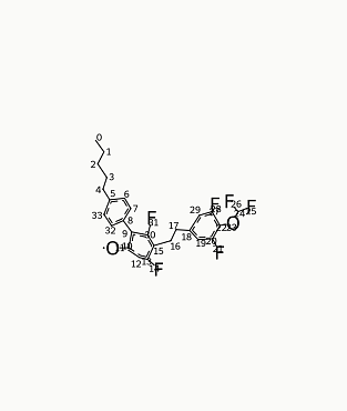 CCCCCc1ccc(-c2c([O])cc(F)c(CCc3cc(F)c(OC(F)F)c(F)c3)c2F)cc1